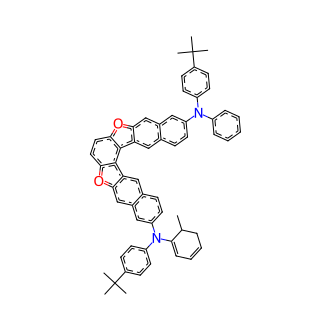 CC1CC=CC=C1N(c1ccc(C(C)(C)C)cc1)c1ccc2cc3c(cc2c1)oc1ccc2oc4cc5cc(N(c6ccccc6)c6ccc(C(C)(C)C)cc6)ccc5cc4c2c13